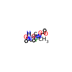 CC1CN(C(=O)c2cc(Cc3n[nH]c(=O)c4ccccc34)ccc2F)C(C)CN1CC(=O)c1coc2ccccc12